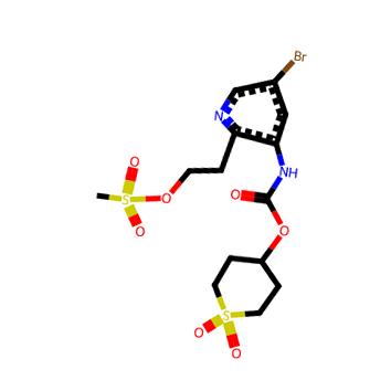 CS(=O)(=O)OCCc1ncc(Br)cc1NC(=O)OC1CCS(=O)(=O)CC1